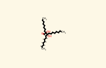 CCCCCCCCC(O)([C]=O)C(O)(CCCCCCCC)CCCCCCCC